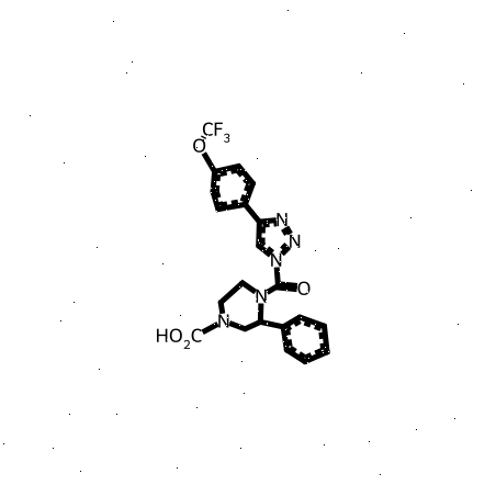 O=C(O)N1CCN(C(=O)n2cc(-c3ccc(OC(F)(F)F)cc3)nn2)C(c2ccccc2)C1